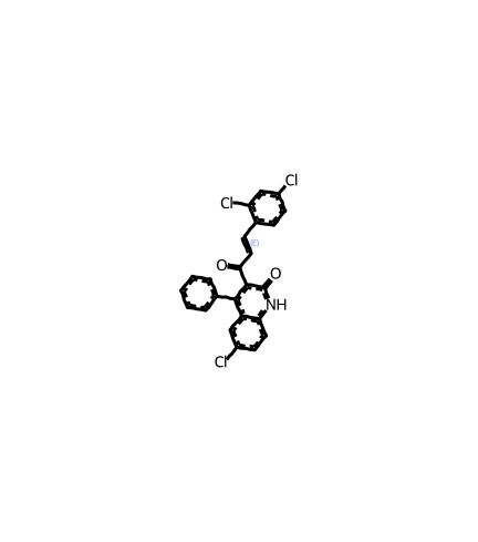 O=C(/C=C/c1ccc(Cl)cc1Cl)c1c(-c2ccccc2)c2cc(Cl)ccc2[nH]c1=O